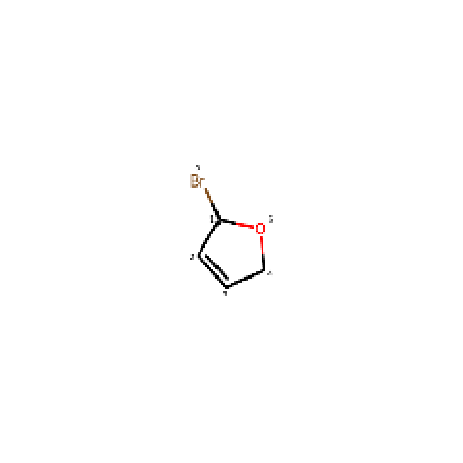 Br[C]1C=CCO1